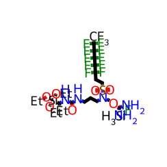 CCO[Si](OCC)(OCC)C(CC)NC(=O)NCCCN(C)S(=O)(=O)CCC(F)(F)C(F)(F)C(F)(F)C(F)(F)C(F)(F)C(F)(F)F.F[SiH3].NC(N)=O